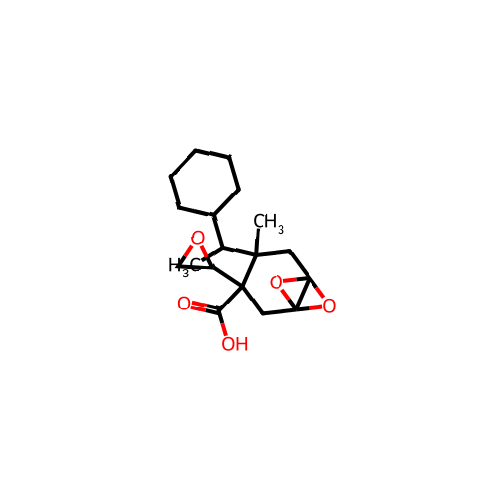 CC(C1CCCCC1)C1(C)CC23OC2(CC1(C(=O)O)C1CO1)O3